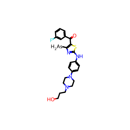 O=C(c1cccc(F)c1)c1sc(Nc2ccc(N3CCN(CCCO)CC3)cc2)nc1[AsH2]